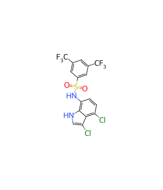 O=S(=O)(Nc1ccc(Cl)c2c(Cl)c[nH]c12)c1cc(C(F)(F)F)cc(C(F)(F)F)c1